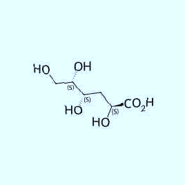 O=C(O)[C@@H](O)C[C@H](O)[C@@H](O)CO